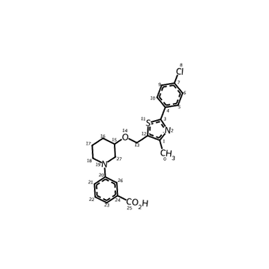 Cc1nc(-c2ccc(Cl)cc2)sc1COC1CCCN(c2cccc(C(=O)O)c2)C1